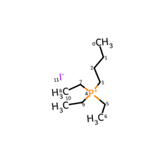 CCCC[P+](CC)(CC)CC.[I-]